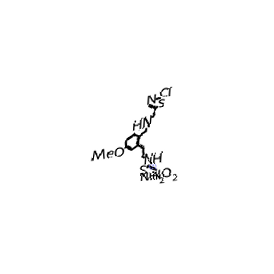 COc1ccc(CNCc2cnc(Cl)s2)c(CCN/C(=C/[N+](=O)[O-])SN)c1